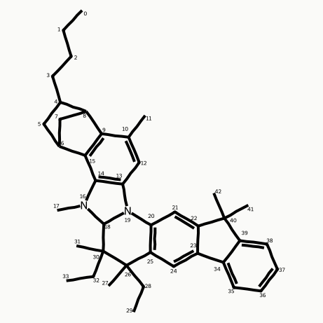 CCCCC1CC2CC1c1c(C)cc3c(c12)N(C)C1N3c2cc3c(cc2C(C)(CC)C1(C)CC)-c1ccccc1C3(C)C